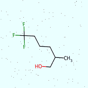 CC(CO)CCCC(F)(F)F